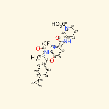 CC(NC(=O)C(F)(F)F)C(Oc1ccc(C(=O)N[C@H]2CCCN(C(=O)O)C2)nc1)c1ccc(C2CC2)cc1